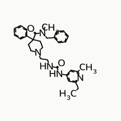 CCc1cc(NC(=O)NCCN2CCC(C(=O)N(C)Cc3ccccc3)(c3ccccc3)CC2)cc(C)n1